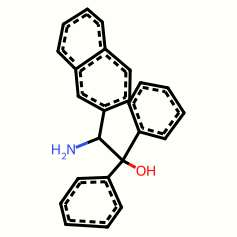 NC(c1ccc2ccccc2c1)C(O)(c1ccccc1)c1ccccc1